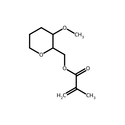 C=C(C)C(=O)OCC1OCCCC1OC